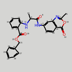 Cc1nc2cc(NC(=O)C(C)Nc3ccccc3C(=O)OCc3ccccc3)ccc2c(=O)o1